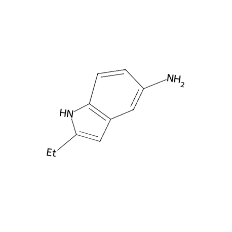 [CH2]Cc1cc2cc(N)ccc2[nH]1